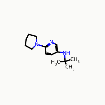 CC(C)(C)Nc1ccc(N2CCCCC2)nc1